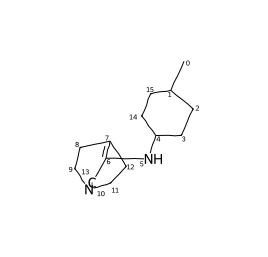 CC1CCC(NC2=C3CCN(CC3)C2)CC1